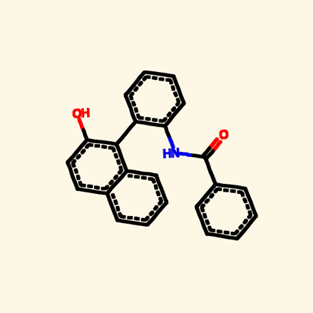 O=C(Nc1ccccc1-c1c(O)ccc2ccccc12)c1ccccc1